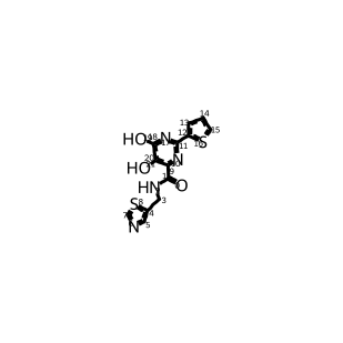 O=C(NCc1cncs1)c1nc(-c2cccs2)nc(O)c1O